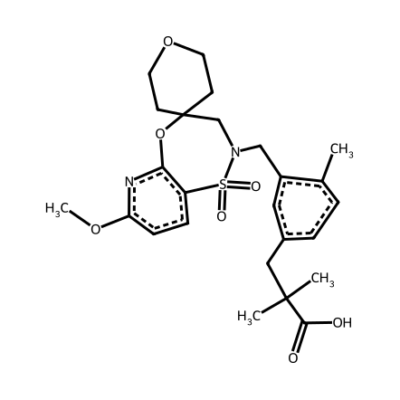 COc1ccc2c(n1)OC1(CCOCC1)CN(Cc1cc(CC(C)(C)C(=O)O)ccc1C)S2(=O)=O